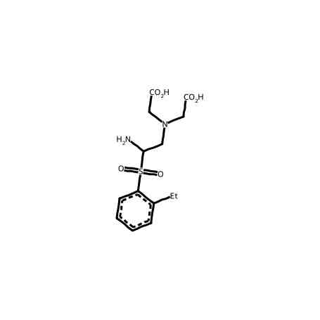 CCc1ccccc1S(=O)(=O)C(N)CN(CC(=O)O)CC(=O)O